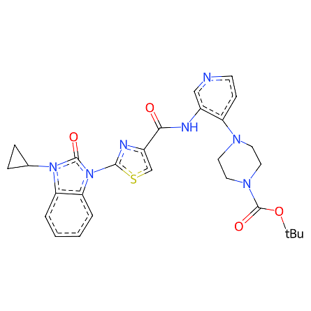 CC(C)(C)OC(=O)N1CCN(c2ccncc2NC(=O)c2csc(-n3c(=O)n(C4CC4)c4ccccc43)n2)CC1